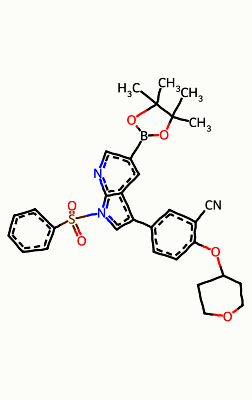 CC1(C)OB(c2cnc3c(c2)c(-c2ccc(OC4CCOCC4)c(C#N)c2)cn3S(=O)(=O)c2ccccc2)OC1(C)C